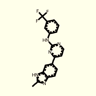 Cc1nc2ccc(-c3ccnc(Nc4cccc(C(F)(F)F)c4)n3)cc2[nH]1